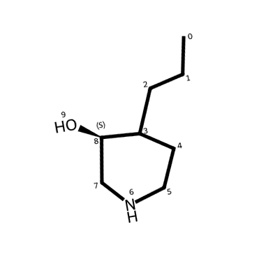 CCCC1CCNC[C@H]1O